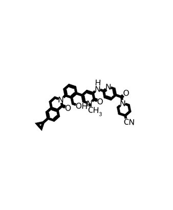 Cn1cc(-c2cccc(N3CCc4cc(C5CC5)ccc4C3=O)c2CO)cc(Nc2ccc(C(=O)N3CCC(C#N)CC3)cn2)c1=O